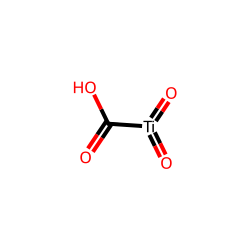 O=[C](O)[Ti](=[O])=[O]